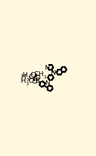 CC1(C)OB(c2ccc3c4ccccc4n(-c4ccc(N(c5cccnc5)c5ccc6ccccc6c5)cc4)c3c2)OC1(C)C